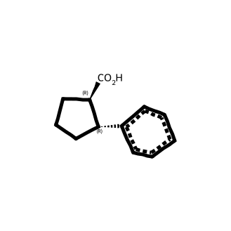 O=C(O)[C@@H]1CCC[C@H]1c1ccccc1